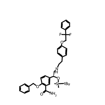 CC(C)(C)[Si](C)(C)O[C@H](CNCCc1ccc(OCC(F)(F)c2ccccc2)cc1)c1ccc(OCc2ccccc2)c(C(N)=O)c1